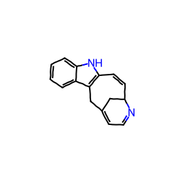 C1=CC2CC(=CC=N2)Cc2c1[nH]c1ccccc21